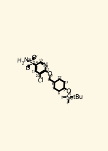 CC(C)(C)[Si](C)(C)OC1CCC(COc2ncc(S(N)(=O)=O)cc2Cl)CC1